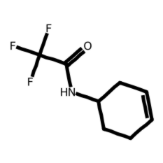 O=C(NC1CC=CCC1)C(F)(F)F